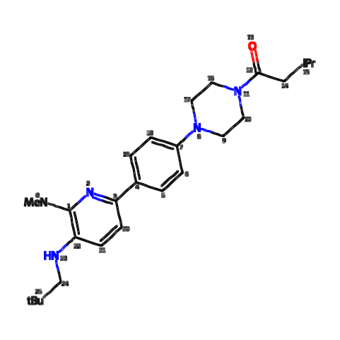 CNc1nc(-c2ccc(N3CCN(C(=O)CC(C)C)CC3)cc2)ccc1NCC(C)(C)C